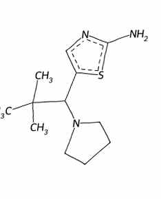 CC(C)(C)C(c1cnc(N)s1)N1CCCC1